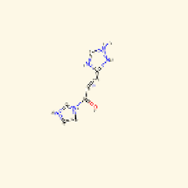 Cn1cnc(/C=C/C(=O)n2ccnc2)n1